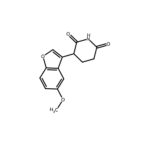 COc1ccc2occ(C3CCC(=O)NC3=O)c2c1